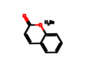 O=c1ccc2ccccc2o1.[SeH2]